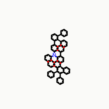 c1ccc(-c2cccc(-c3ccc(N(c4ccccc4-c4ccc5c(c4)c(-c4ccccc4)c(-c4ccccc4)c4ccccc45)c4c(-c5ccccc5)cccc4-c4ccccc4)cc3)c2-c2ccccc2)cc1